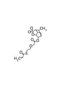 C=CC(=O)SCCOCC(=O)OC1C2CC3C1OS(=O)(=O)C3C2C